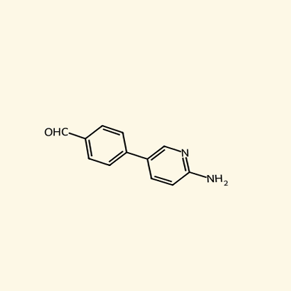 Nc1ccc(-c2ccc(C=O)cc2)cn1